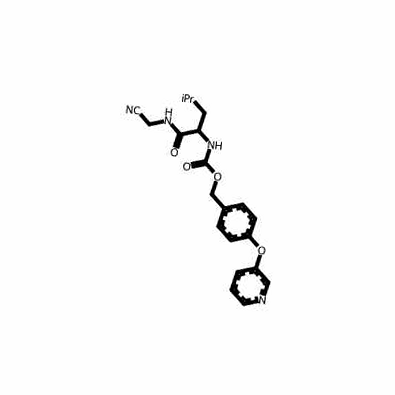 CC(C)CC(NC(=O)OCc1ccc(Oc2cccnc2)cc1)C(=O)NCC#N